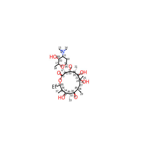 CC[C@H]1OC(=O)[C@H](C)[C@@H](O[C@H]2CC(N(C)C)[C@H](O)C(C)O2)[C@H](C)[C@@H](O)[C@](C)(O)C[C@@H](C)C(=O)[C@H](C)[C@@H](O)[C@H]1C